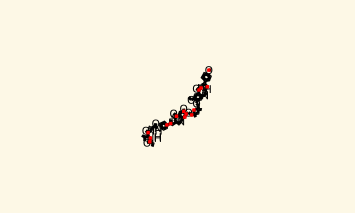 CCC(=O)NC(C(=O)N[C@@H](C)C(=O)Nc1ccc(C2=CN3C(=O)c4cc(OC)c(OCC(C)(C)CC(C)(C)COc5cc6c(cc5OC)C(=O)N5C=C(c7ccc(OC)cc7)C[C@H]5C=N6)cc4N=CC3C2)cc1)C(C)C